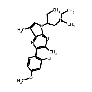 CCC(CN(C)CC)n1cc(C)c2nc(-c3ccc(OC)cc3Cl)c(C)nc21